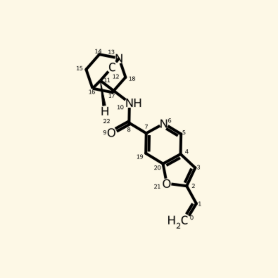 C=Cc1cc2cnc(C(=O)N[C@H]3CN4CCC3CC4)cc2o1